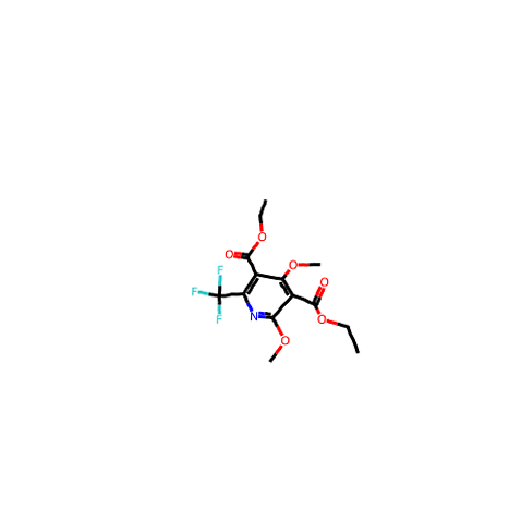 CCOC(=O)c1c(OC)nc(C(F)(F)F)c(C(=O)OCC)c1OC